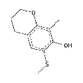 CSc1cc2c(c(C)c1O)OCCC2